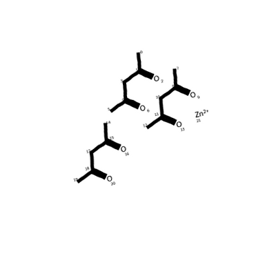 CC(=O)CC(C)=O.CC(=O)CC(C)=O.CC(=O)CC(C)=O.[Zn+2]